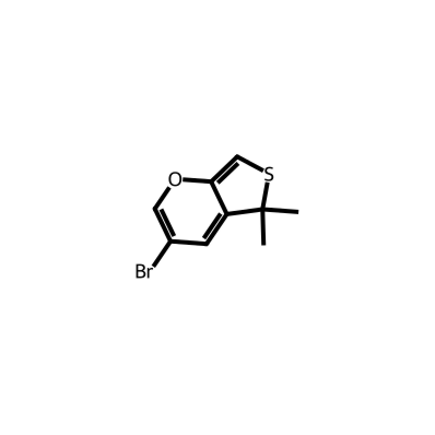 CC1(C)SC=C2OC=C(Br)C=C21